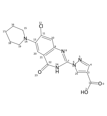 O=C(O)c1cnn(-c2nc3cc(Cl)c(N4CCCCC4)cc3c(=O)[nH]2)c1